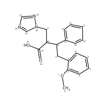 COc1ccccc1CC(c1ccccc1)C(Cn1cncn1)C(=O)O